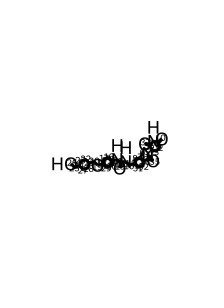 O=C1CC[C@@H](N2Cc3cc(CNC(=O)Nc4ccc(OCC5CCC(CO)CC5)cc4)ccc3C2=O)C(=O)N1